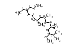 CCC(CCN)CCOC(C)CC(C)CCC(C)CC(CC)C(C)C